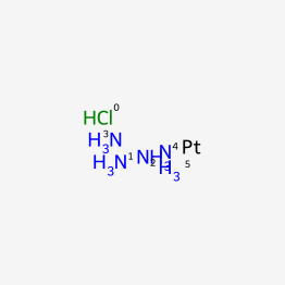 Cl.N.N.N.N.[Pt]